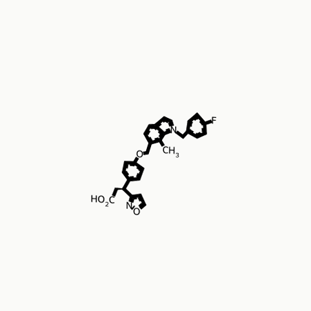 Cc1c(COc2ccc([C@H](CC(=O)O)c3ccon3)cc2)ccc2ccn(Cc3ccc(F)cc3)c12